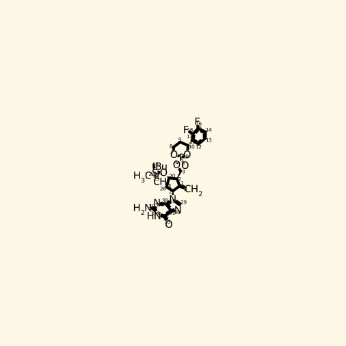 C=C1[C@H](CO[P@]2(=O)OCC[C@H](c3cccc(F)c3F)O2)[C@@H](O[Si](C)(C)C(C)(C)C)C[C@@H]1n1cnc2c(=O)[nH]c(N)nc21